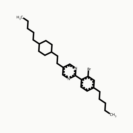 CCCCCc1ccc(-c2ncc(CCC3CCC(CCCCC)CC3)cn2)c(Br)c1